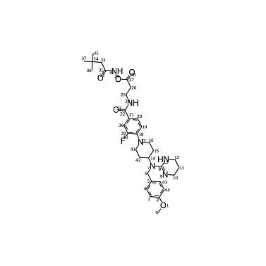 COc1ccc(CN(C2=NCCCN2)C2CCN(c3ccc(C(=O)NCCC(=O)ONC(=O)CC(C)(C)C)cc3F)CC2)cc1